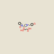 COc1ccc(CCN2CCC(CN3Cc4ccccc4C3=O)CC2)cc1.O=C(O)C=CC(=O)O